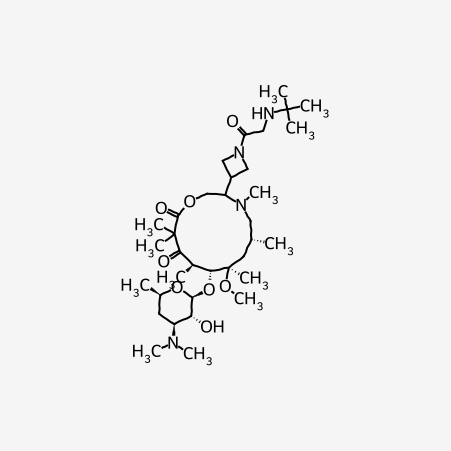 CO[C@]1(C)C[C@@H](C)CN(C)C(C2CN(C(=O)CNC(C)(C)C)C2)COC(=O)C(C)(C)C(=O)[C@H](C)[C@H]1O[C@@H]1O[C@H](C)C[C@H](N(C)C)[C@H]1O